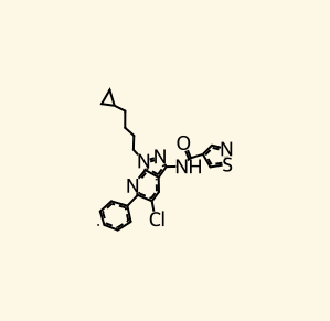 O=C(Nc1nn(CCCCC2CC2)c2nc(-c3cc[c]cc3)c(Cl)cc12)c1cnsc1